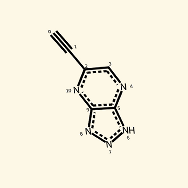 C#Cc1cnc2[nH]nnc2n1